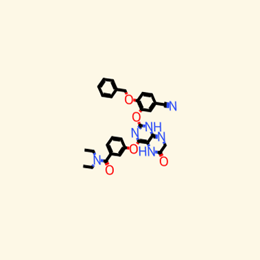 CCN(CC)C(=O)c1cccc(OC2=C3NC(=O)CN=C3NC(Oc3cc(C#N)ccc3OCc3ccccc3)=N2)c1